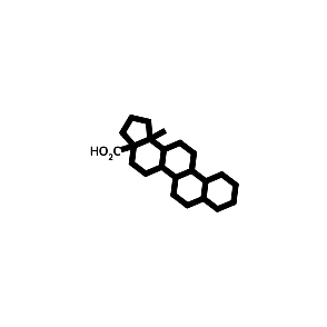 CC12CCCC1(C(=O)O)CCC1C3CCC4CCCCC4C3CCC12